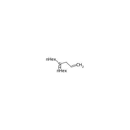 C=CC[SiH](CCCCCC)CCCCCC